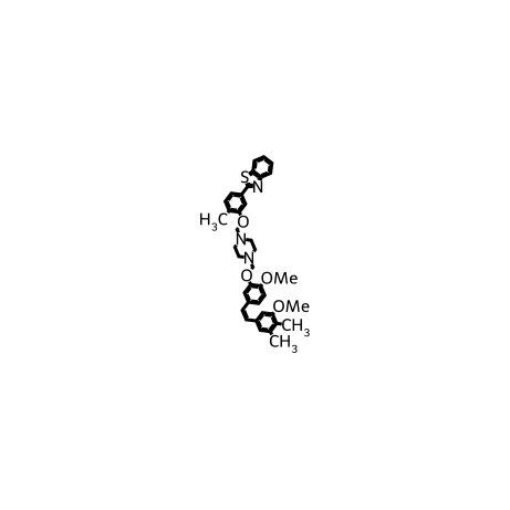 COc1ccc(/C=C\c2cc(C)c(C)c(OC)c2)cc1OCN1CCN(COc2cc(-c3nc4ccccc4s3)ccc2C)CC1